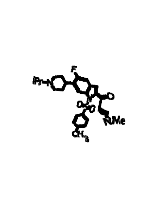 CN/C=C/C(=O)c1cc2cc(F)c(C3CCN(C(C)C)CC3)cc2n1S(=O)(=O)c1ccc(C)cc1